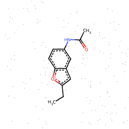 CCc1cc2cc(NC(C)=O)ccc2o1